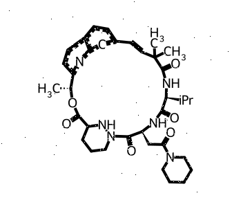 CC(C)[C@@H]1NC(=O)C(C)(C)/C=C/c2ccc3ccc(nc3c2)[C@@H](C)OC(=O)C2CCCN(N2)C(=O)[C@H](CC(=O)N2CCCCC2)NC1=O